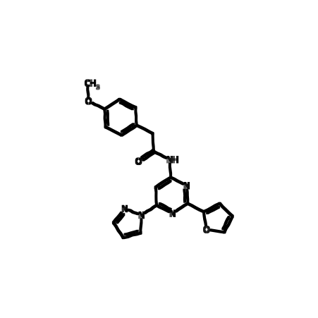 COc1ccc(CC(=O)Nc2cc(-n3cccn3)nc(-c3ccco3)n2)cc1